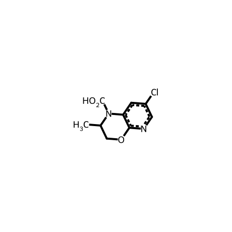 CC1COc2ncc(Cl)cc2N1C(=O)O